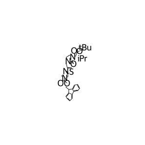 CC(C)[C@@H](C(=O)OC(C)(C)C)N1CCN(Cc2csc(CN(C)C(=O)OCC3c4ccccc4-c4ccccc43)n2)C1=O